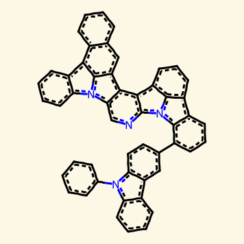 c1ccc(-n2c3ccccc3c3cc(-c4cccc5c6cccc7c8c9c%10cc%11ccccc%11c%11c%12ccccc%12n(c9cnc8n(c45)c67)c%10%11)ccc32)cc1